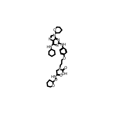 O=C(CN(CCCOc1ccc(Nc2nc(NC3CCCCC3)c3ncn(C4CCCCO4)c3n2)cc1)C(=O)O)NOC1CCCCO1